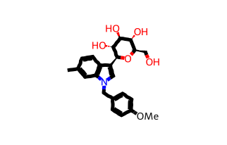 COc1ccc(Cn2cc([C@@H]3O[C@H](CO)[C@@H](O)[C@H](O)[C@H]3O)c3ccc(C)cc32)cc1